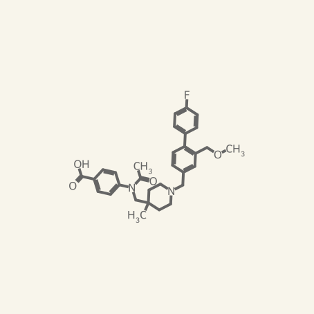 COCc1cc(CN2CCC(C)(CN(C(C)=O)c3ccc(C(=O)O)cc3)CC2)ccc1-c1ccc(F)cc1